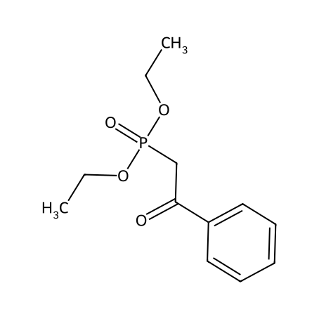 CCOP(=O)(CC(=O)c1ccccc1)OCC